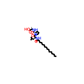 CCCCCCCCCCCCCCCC(=O)N[C@@H](CC(C)C)C(=O)N1CCC[C@H]1C(=O)N[C@@H](C)C(=O)O